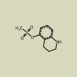 CS(=O)(=O)Oc1cccc2c1CCCN2